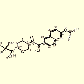 O=C(N[C@@H]1CC[C@@H](C(O)C(F)(F)F)OC1)c1cnc2cc(OC(F)F)ccc2c1